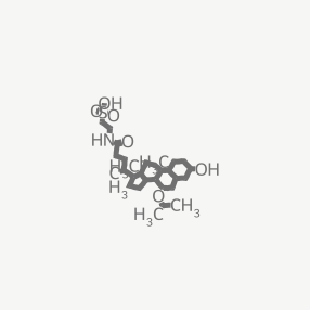 CC(C)OC1CC2CC(O)CCC2(C)C2CCC3(C)C(C(C)CCC(=O)NCCS(=O)(=O)O)CCC3C12